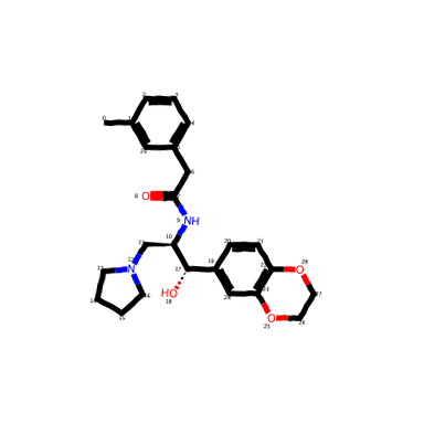 Cc1cccc(CC(=O)N[C@H](CN2CCCC2)[C@@H](O)c2ccc3c(c2)OCCO3)c1